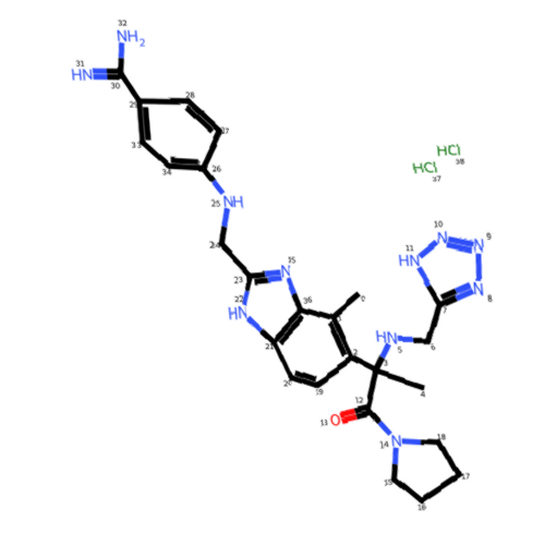 Cc1c(C(C)(NCc2nnn[nH]2)C(=O)N2CCCC2)ccc2[nH]c(CNc3ccc(C(=N)N)cc3)nc12.Cl.Cl